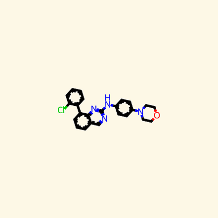 Clc1ccccc1-c1cccc2cnc(Nc3ccc(N4CCOCC4)cc3)nc12